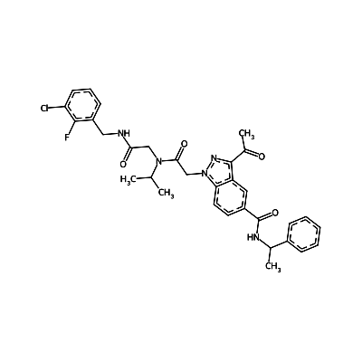 CC(=O)c1nn(CC(=O)N(CC(=O)NCc2cccc(Cl)c2F)C(C)C)c2ccc(C(=O)NC(C)c3ccccc3)cc12